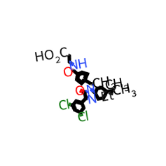 CCC(C)(C)C1CCC2(CC1)N=C(C1=CC(Cl)=CC(Cl)C1)C(=O)N2C(C)c1ccc(C(=O)NCCC(=O)O)cc1